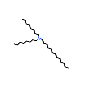 CCCCCCCCCCCCCN(CCCCCCCC)CCCCCCCC